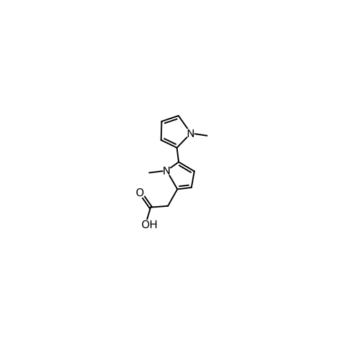 Cn1cccc1-c1ccc(CC(=O)O)n1C